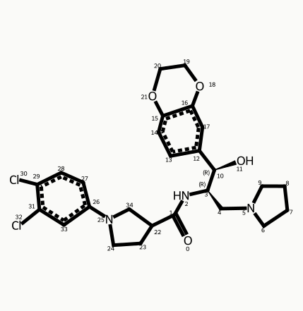 O=C(N[C@H](CN1CCCC1)[C@H](O)c1ccc2c(c1)OCCO2)C1CCN(c2ccc(Cl)c(Cl)c2)C1